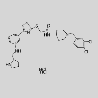 Cl.Cl.O=C(CSc1nc(-c2cccc(NCC3CCCN3)c2)cs1)NC1CCN(Cc2ccc(Cl)c(Cl)c2)CC1